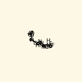 CC(C)(C)OP(=O)(OCC[C@@H]1CCCN1CCCOc1ccc2c(Nc3cc(CC(=O)Nc4cccc(F)c4F)[nH]n3)ncnc2c1)OC(C)(C)C